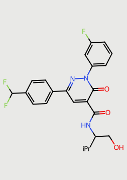 CC(C)C(CO)NC(=O)c1cc(-c2ccc(C(F)F)cc2)nn(-c2cccc(F)c2)c1=O